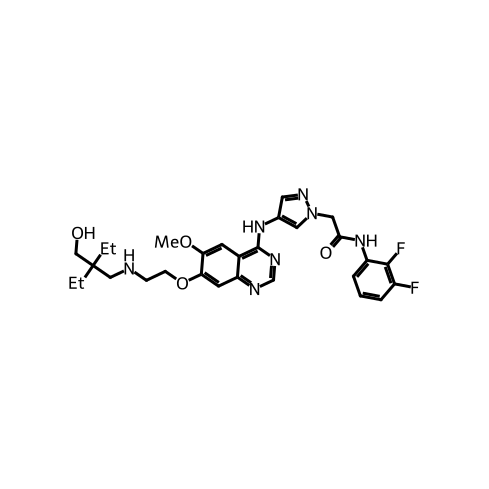 CCC(CC)(CO)CNCCOc1cc2ncnc(Nc3cnn(CC(=O)Nc4cccc(F)c4F)c3)c2cc1OC